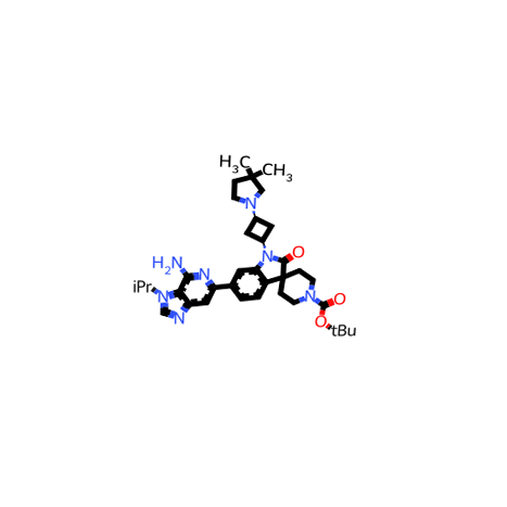 CC(C)n1cnc2cc(-c3ccc4c(c3)N([C@H]3C[C@@H](N5CCC(C)(C)C5)C3)C(=O)C43CCN(C(=O)OC(C)(C)C)CC3)nc(N)c21